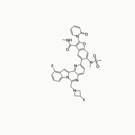 CNC(=O)c1c(-n2ccccc2=O)oc2cc(N(C)S(C)(=O)=O)c(-c3ccc4nc(CN5CC(F)C5)n5c6cccc(F)c6cc5c4n3)cc12